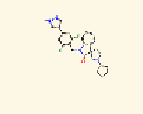 Cn1cc(-c2cc(F)c(CN3C(=O)C4(CCN(C5CCCC5)C4)c4ccccc43)c(F)c2)cn1